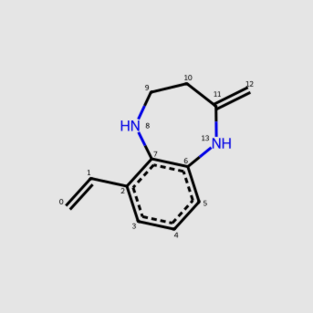 C=Cc1cccc2c1NCCC(=C)N2